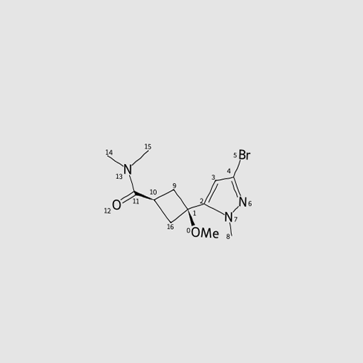 CO[C@]1(c2cc(Br)nn2C)C[C@H](C(=O)N(C)C)C1